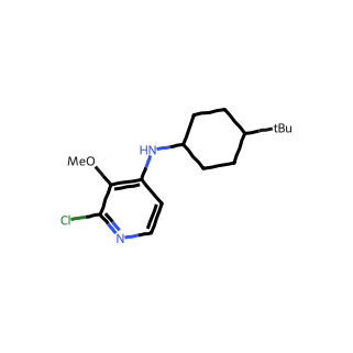 COc1c(NC2CCC(C(C)(C)C)CC2)ccnc1Cl